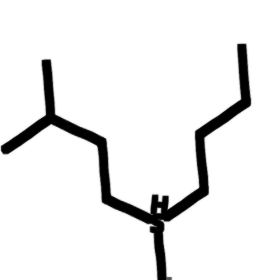 [CH2][SH](CCCC)CCC(C)C